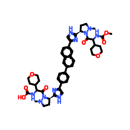 COC(=O)N[C@H](C(=O)N1[C@H](c2nc(-c3ccc4cc(-c5ccc(-c6c[nH]c([C@@H]7CCN(C)N7C(=O)[C@@H](NC(=O)O)C7CCOCC7)n6)cc5)ccc4c3)c[nH]2)CCN1C)C1CCOCC1